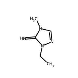 CCn1ncn(C)c1=N